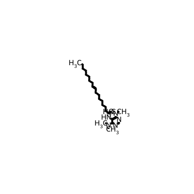 CCCCCCCCC=CCCCCCCCC(=O)Nc1c(N(C)C)ncnc1N(C)C